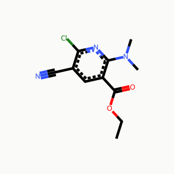 CCOC(=O)c1cc(C#N)c(Cl)nc1N(C)C